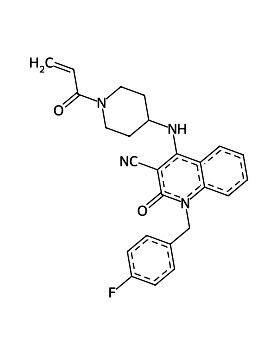 C=CC(=O)N1CCC(Nc2c(C#N)c(=O)n(Cc3ccc(F)cc3)c3ccccc23)CC1